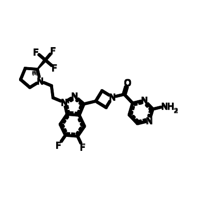 Nc1nccc(C(=O)N2CC(c3nn(CCN4CCC[C@H]4C(F)(F)F)c4cc(F)c(F)cc34)C2)n1